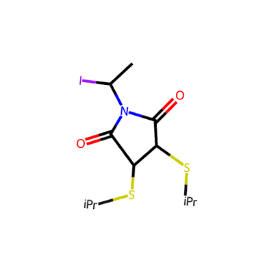 CC(C)SC1C(=O)N(C(C)I)C(=O)C1SC(C)C